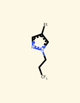 CCc1cnn(CCC(F)(F)F)c1